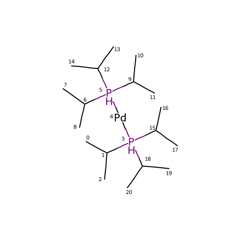 CC(C)[PH]([Pd][PH](C(C)C)(C(C)C)C(C)C)(C(C)C)C(C)C